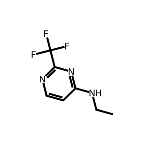 CCNc1ccnc(C(F)(F)F)n1